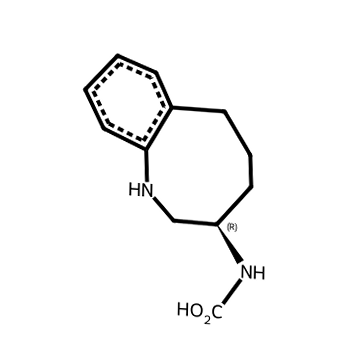 O=C(O)N[C@@H]1CCCc2ccccc2NC1